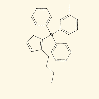 CCCCC1=C([Si](c2ccccc2)(c2ccccc2)c2cccc(C)c2)CC=C1